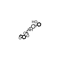 Oc1ccccc1N1CCC(CNC[C@H]2COc3ccc4occc4c3O2)CC1